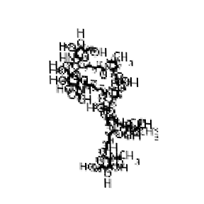 CC(=O)NC1C(OCCCCC(=O)N2C[C@H](C)C[C@H]2COP(=O)(O)O[C@@H]2C[C@@H](COP(=O)(O)O[C@@H]3C[C@@H](COP(=O)(O)OC(C)(C)C)N(C(=O)CCCCOC4OC(CO)C(O)C(O)C4NC(C)=O)C3)N(C(=O)CCCCOC3OC(CO)C(O)C(O)C3NC(C)=O)C2)OC(CO)C(O)C1O